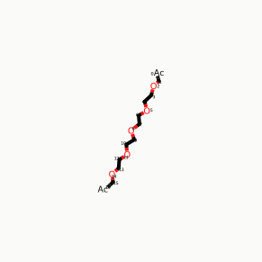 CC(=O)COCCOCCOCCOCCOCC(C)=O